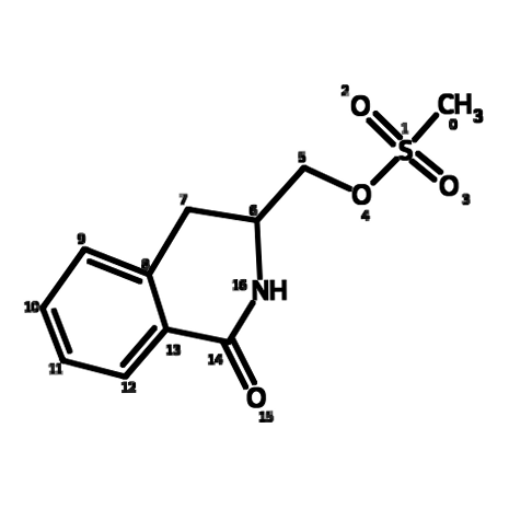 CS(=O)(=O)OCC1Cc2ccccc2C(=O)N1